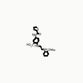 COc1ccccc1NCCNc1ccc(NC(=O)c2cccs2)cc1C(=O)O